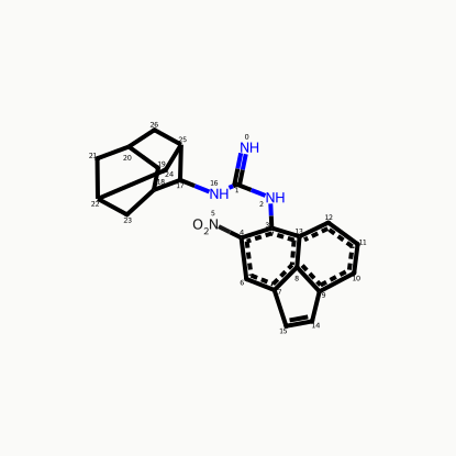 N=C(Nc1c([N+](=O)[O-])cc2c3c(cccc13)C=C2)NC1C2CC3CC(C2)CC1C3